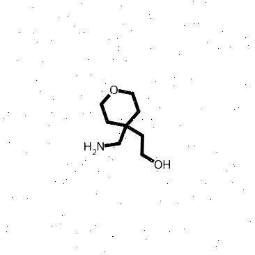 NCC1(CCO)CCOCC1